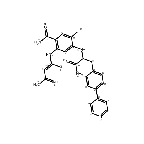 CC(=N)/C=C(\S)Nc1cc(NC(Cc2ccc(-c3ccncc3)cc2)C(N)=O)c(F)cc1C(N)=O